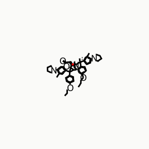 [CH]C(c1ccc(OCCC)cc1)(c1ccc(N2CCCC2)c(C)c1)c1nc2c3nc1C1C3(OC2=O)C1(c1ccc(OCCC)cc1)c1ccc(N2CCCC2)c(C)c1